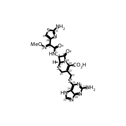 CON=C(C(=O)N[C@@H]1C(=O)N2C(C(=O)O)=C(CSc3nc(N)nc4nc[nH]c34)CS[C@@H]12)c1csc(N)n1